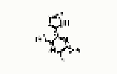 Cc1nc(C(C)(C)C)c(-c2ccn[nH]2)nc1C(C)C